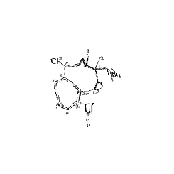 CCCCC1(C)N=C(Cl)c2cccc(Cl)c2O1